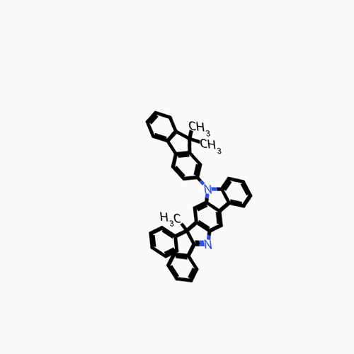 CC1(c2ccccc2)C(c2ccccc2)=Nc2cc3c4ccccc4n(-c4ccc5c(c4)C(C)(C)C4CC=CC=C54)c3cc21